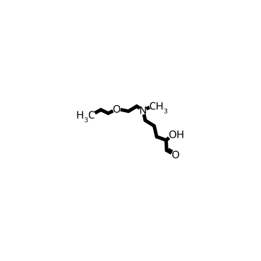 CCCOCCN(C)CCCC(O)C=O